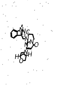 Cn1nc(CN2c3nc(N4C[C@@H]5C[C@H]4CO5)cc(=O)n3CC[C@H]2C(F)(F)F)c2ccccc21